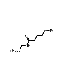 CCCCCCCCNC(=O)CCCCC(C)C